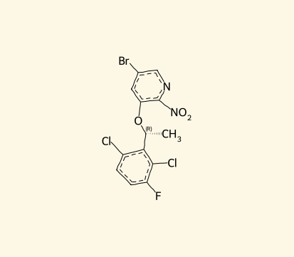 C[C@@H](Oc1cc(Br)cnc1[N+](=O)[O-])c1c(Cl)ccc(F)c1Cl